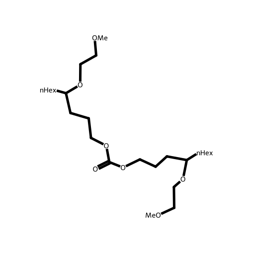 CCCCCCC(CCCOC(=O)OCCCC(CCCCCC)OCCOC)OCCOC